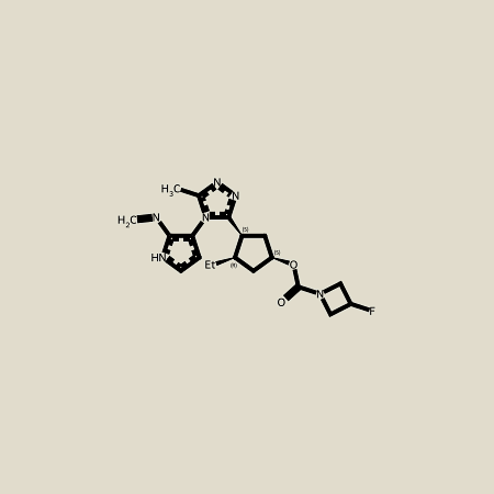 C=Nc1[nH]ccc1-n1c(C)nnc1[C@H]1C[C@@H](OC(=O)N2CC(F)C2)C[C@H]1CC